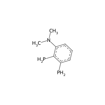 CN(C)c1cccc(P)c1P